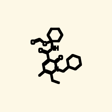 CCc1c(C)cc(C(=O)NC2(OC=O)CCCCC2)c(=O)n1CC1CCCCC1